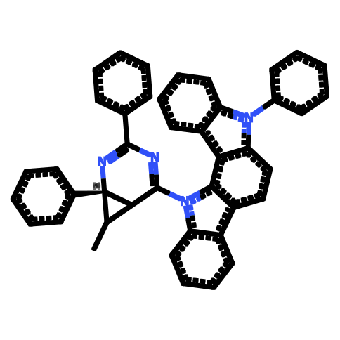 CC1C2C(n3c4ccccc4c4ccc5c(c6ccccc6n5-c5ccccc5)c43)=NC(c3ccccc3)=N[C@@]12c1ccccc1